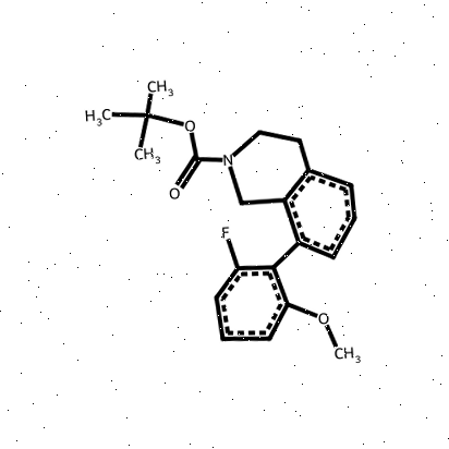 COc1cccc(F)c1-c1cccc2c1CN(C(=O)OC(C)(C)C)CC2